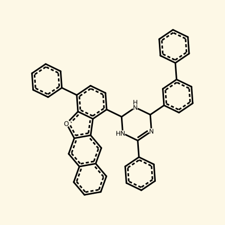 c1ccc(C2=NC(c3cccc(-c4ccccc4)c3)NC(c3ccc(-c4ccccc4)c4oc5cc6ccccc6cc5c34)N2)cc1